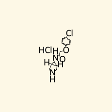 Cl.O=C(COc1ccc(Cl)cc1)N[C@H]1[C@@H]2CNC[C@@H]21